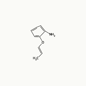 CC=COc1ccccc1N